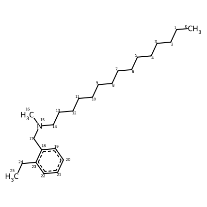 CCCCCCCCCCCCCCCN(C)Cc1ccccc1CC